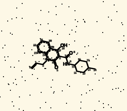 C=CCn1c(=O)c(C(=O)NC2CCC(C)CC2)c(O)c2cccnc21